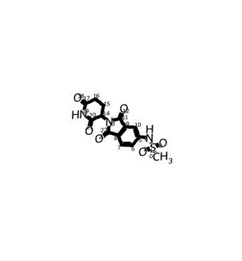 CS(=O)(=O)Nc1ccc2c(c1)C(=O)N(C1CCC(=O)NC1=O)C2=O